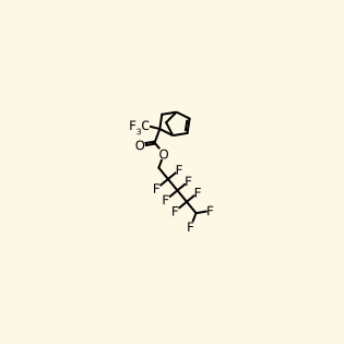 O=C(OCC(F)(F)C(F)(F)C(F)(F)C(F)F)C1(C(F)(F)F)CC2C=CC1C2